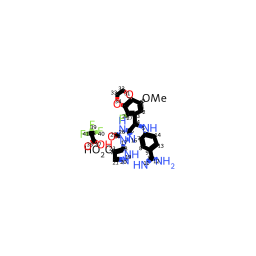 COc1cc(C(Nc2ccc(C(=N)N)cc2)c2nn(-c3[nH]ncc3C(=O)O)c(=O)[nH]2)c(F)c2c1OCCO2.O=C(O)C(F)(F)F